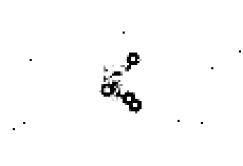 N#CC(COCc1ccccc1)NC(=O)C1(OC(=O)c2ccc3ccccc3c2)CCCCC1